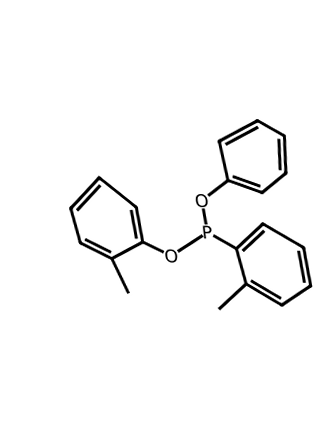 Cc1ccccc1OP(Oc1ccccc1)c1ccccc1C